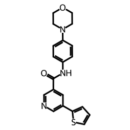 O=C(Nc1ccc(N2CCOCC2)cc1)c1cncc(-c2cccs2)c1